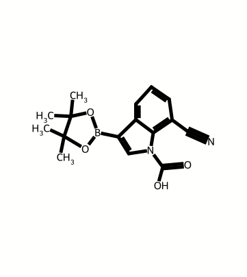 CC1(C)OB(c2cn(C(=O)O)c3c(C#N)cccc23)OC1(C)C